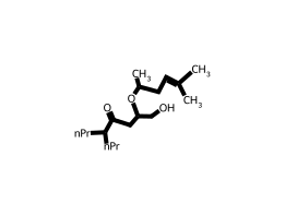 CCCC(CCC)C(=O)CC(CO)OC(C)CC=C(C)C